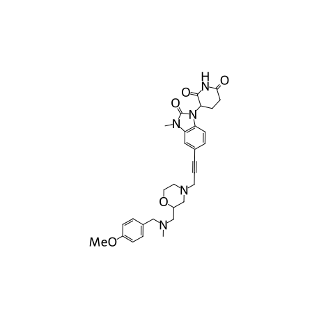 COc1ccc(CN(C)CC2CN(CC#Cc3ccc4c(c3)n(C)c(=O)n4C3CCC(=O)NC3=O)CCO2)cc1